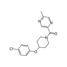 Cc1cnc(C(=O)N2CCC(Oc3ccc(Cl)cc3)CC2)cn1